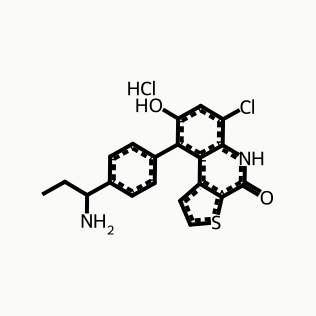 CCC(N)c1ccc(-c2c(O)cc(Cl)c3[nH]c(=O)c4sccc4c23)cc1.Cl